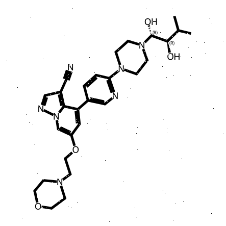 CC(C)[C@@H](O)[C@@H](O)N1CCN(c2ccc(-c3cc(OCCN4CCOCC4)cn4ncc(C#N)c34)cn2)CC1